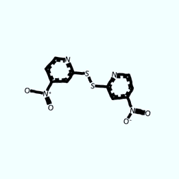 O=[N+]([O-])c1ccnc(SSc2cc([N+](=O)[O-])ccn2)c1